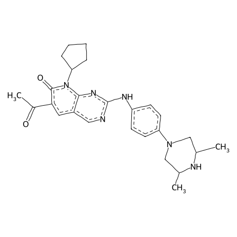 CC(=O)c1cc2cnc(Nc3ccc(N4CC(C)NC(C)C4)cc3)nc2n(C2CCCC2)c1=O